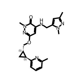 Cc1cccc([C@H]2C[C@@H]2COc2cc(NCc3cc(C)nn3C)c(=O)n(C)n2)n1